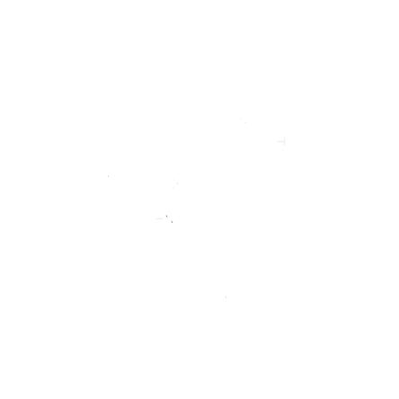 COCCNOC(=O)c1ccccc1CSC